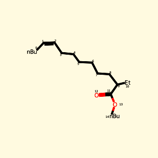 CCCC/C=C\CCCCCCC(CC)C(=O)OCCCC